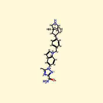 Cc1nc(C(N)=O)nn1-c1ccc2c(ccn2Cc2ccc(C3C[C@H]4CNC[C@H]4C3)cc2)c1